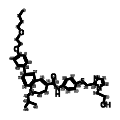 CCCCOCCOc1ccc(-c2ccc3c(c2)C=C(C(=O)Nc2ccc(SCc4nccn4CCO)cc2)CCN3CC(C)C)cc1